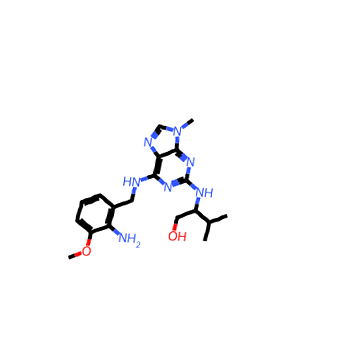 COc1cccc(CNc2nc(NC(CO)C(C)C)nc3c2ncn3C)c1N